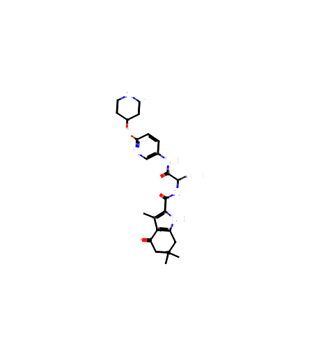 CCCCC(NC(=O)c1[nH]c2c(c1C)C(=O)CC(C)(C)C2)C(=O)Nc1ccc(OC2CCNCC2)nc1